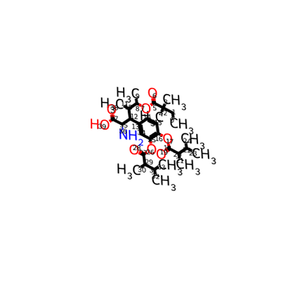 CCC(C)(C)C(=O)OC(C)C(C)C(c1ccc(OC(=O)C(C)C(C)C)c(OC(=O)C(C)C(C)C)c1)[C@H](N)C(=O)O